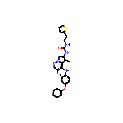 Cc1c(NC(=O)NCCc2cccs2)cn2ncc(C#N)c(Nc3ccc(Oc4ccccc4)cc3)c12